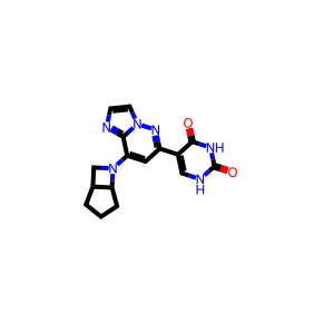 O=c1[nH]cc(-c2cc(N3CC4CCCC43)c3nccn3n2)c(=O)[nH]1